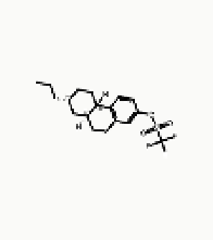 CCC[C@@H]1CC[C@@H]2c3ccc(OS(=O)(=O)C(F)(F)F)cc3CC[C@H]2C1